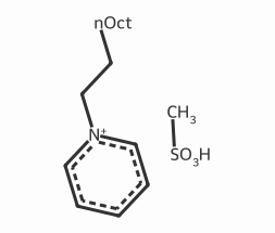 CCCCCCCCCC[n+]1ccccc1.CS(=O)(=O)O